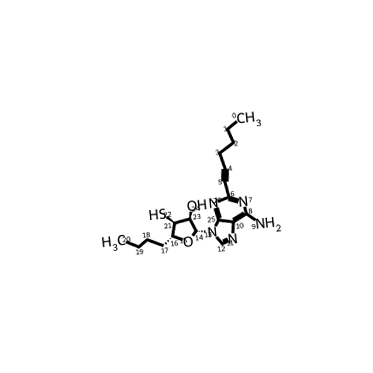 CCCCC#Cc1nc(N)c2ncn([C@@H]3O[C@H](CCCC)[C@@H](S)[C@H]3O)c2n1